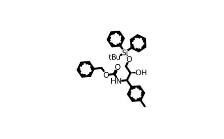 Cc1ccc(C(NC(=O)OCc2ccccc2)[C@H](O)CO[Si](c2ccccc2)(c2ccccc2)C(C)(C)C)cc1